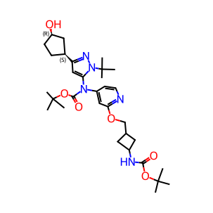 CC(C)(C)OC(=O)NC1CC(COc2cc(N(C(=O)OC(C)(C)C)c3cc([C@H]4CC[C@@H](O)C4)nn3C(C)(C)C)ccn2)C1